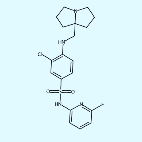 O=S(=O)(Nc1cccc(F)n1)c1ccc(NCC23CCCN2CCC3)c(Cl)c1